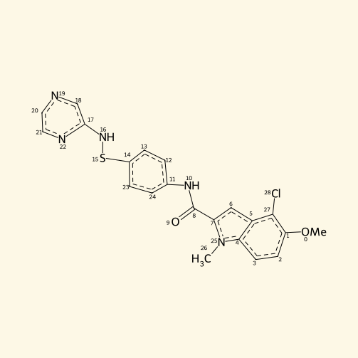 COc1ccc2c(cc(C(=O)Nc3ccc(SNc4cnccn4)cc3)n2C)c1Cl